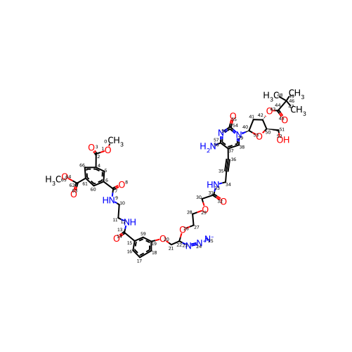 COC(=O)c1cc(C(=O)NCCNC(=O)c2cccc(OCC(N=[N+]=[N-])OCCOCC(=O)NCC#Cc3cn([C@H]4C[C@H](OC(=O)C(C)(C)C)[C@@H](CO)O4)c(=O)nc3N)c2)cc(C(=O)OC)c1